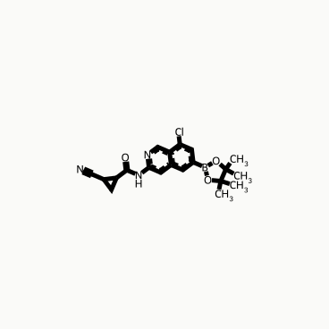 CC1(C)OB(c2cc(Cl)c3cnc(NC(=O)C4CC4C#N)cc3c2)OC1(C)C